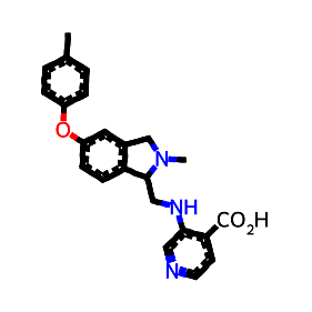 Cc1ccc(Oc2ccc3c(c2)CN(C)C3CNc2cnccc2C(=O)O)cc1